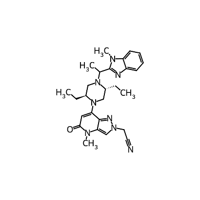 CC[C@H]1CN(C(C)c2nc3ccccc3n2C)[C@H](CC)CN1c1cc(=O)n(C)c2cn(CC#N)nc12